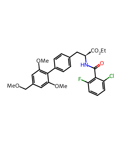 CCOC(=O)[C@H](Cc1ccc(-c2c(OC)cc(COC)cc2OC)cc1)NC(=O)c1c(F)cccc1Cl